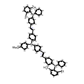 CCc1cccc(C)c1N(c1ccccc1)c1ccc(/C=C/c2ccc(N(c3ccc(/C=C/c4ccc(N(c5ccccc5)c5c(C)cccc5CC)cc4)cc3)c3ccc(OC)cc3)cc2)cc1